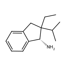 CCC1(C(C)C)Cc2ccccc2[C@H]1N